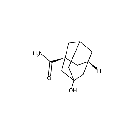 NC(=O)[C@@]12[CH][C@@H]3CC(CC(O)(C3)C1)C2